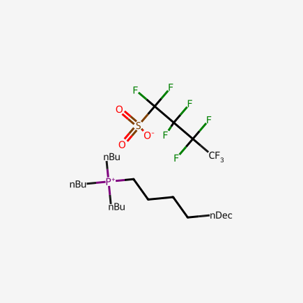 CCCCCCCCCCCCCC[P+](CCCC)(CCCC)CCCC.O=S(=O)([O-])C(F)(F)C(F)(F)C(F)(F)C(F)(F)F